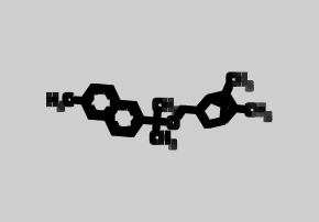 Cc1ccc2cc(C(C)(C)OCC3CC4CC3C(C)C4C)ccc2c1